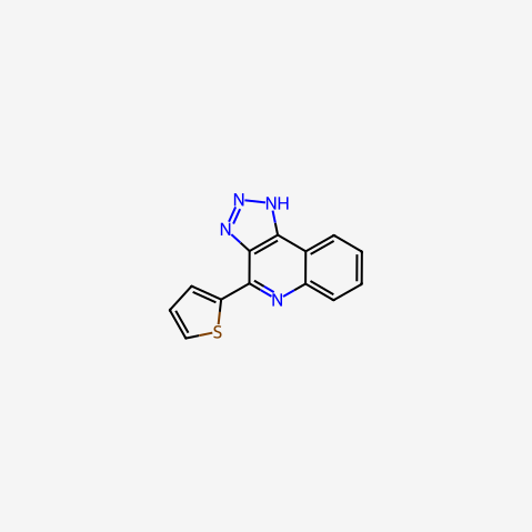 c1csc(-c2nc3ccccc3c3[nH]nnc23)c1